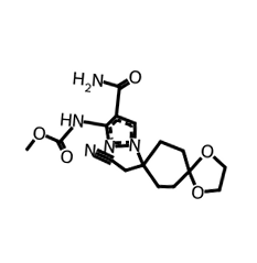 COC(=O)Nc1nn(C2(CC#N)CCC3(CC2)OCCO3)cc1C(N)=O